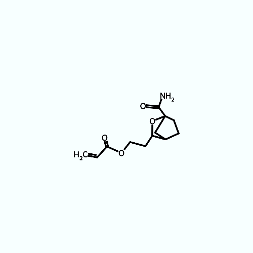 C=CC(=O)OCCC1OC2(C(N)=O)CCC1C2